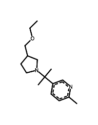 CCOCC1CCN(C(C)(C)c2ccc(C)nc2)C1